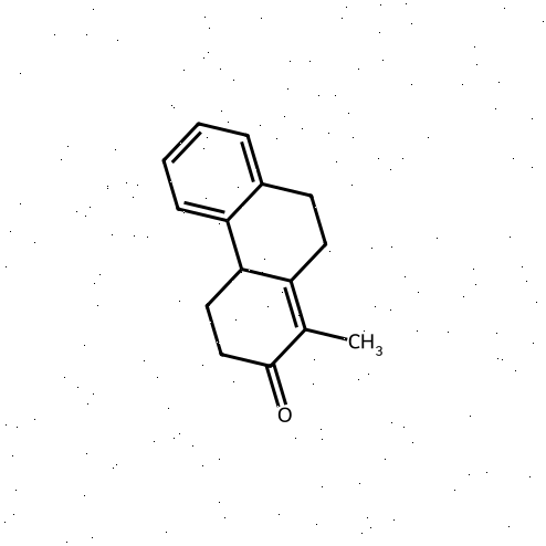 CC1=C2CCc3ccccc3C2CCC1=O